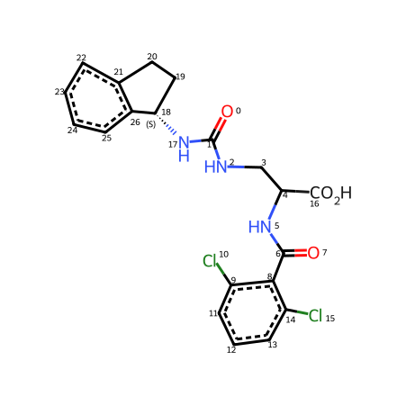 O=C(NCC(NC(=O)c1c(Cl)cccc1Cl)C(=O)O)N[C@H]1CCc2ccccc21